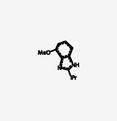 COc1cccc2[nH]c(C(C)C)nc12